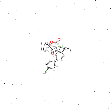 Cc1ccc(-c2ccc(Cl)cc2)cc1C1(Cl)C(=O)OC(C)(C)C1=O